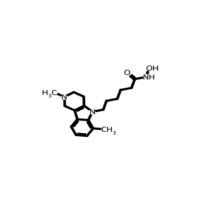 Cc1cccc2c3c(n(CCCCCC(=O)NO)c12)CCN(C)C3